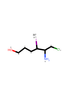 NC(CCl)C(I)CCCO.[H+]